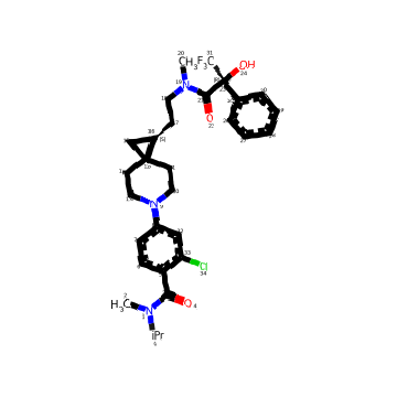 CC(C)N(C)C(=O)c1ccc(N2CCC3(CC2)C[C@H]3CCN(C)C(=O)[C@](O)(c2ccccc2)C(F)(F)F)cc1Cl